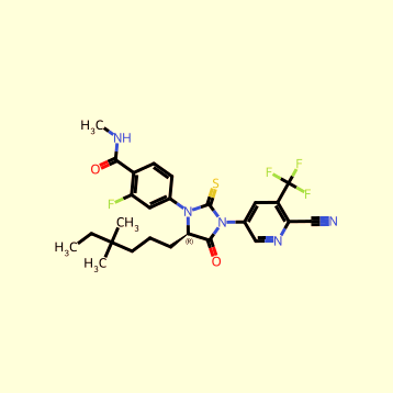 CCC(C)(C)CCC[C@@H]1C(=O)N(c2cnc(C#N)c(C(F)(F)F)c2)C(=S)N1c1ccc(C(=O)NC)c(F)c1